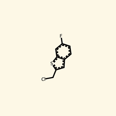 Fc1ccc2cc(CCl)sc2c1